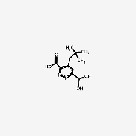 CC(C)(C)Cc1cc(C(O)O)nnc1C(=O)O